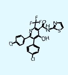 O=C(Nc1nccs1)c1c(C(F)(F)F)nc(-c2ccc(Cl)cc2)c(-c2ccc(Cl)cc2)c1O